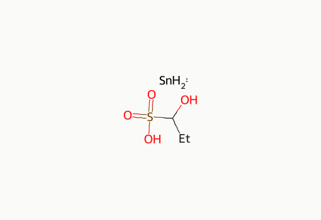 CCC(O)S(=O)(=O)O.[SnH2]